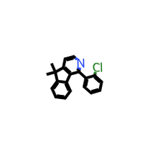 CC1(C)c2ccccc2-c2c1ccnc2-c1ccccc1Cl